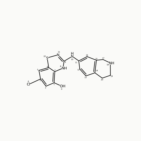 Oc1cc(Cl)cc2c1NC(Nc1ccc3c(c1)CNCC3)=NS2